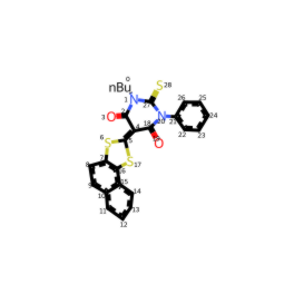 CCCCN1C(=O)/C(=C2\Sc3ccc4ccccc4c3S2)C(=O)N(c2ccccc2)C1=S